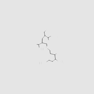 CCCC(C)C(C)CCNCC(CC(CC)C(C)C)C(C)C